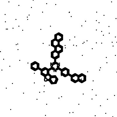 c1ccc(-c2cc(-c3nc(-c4ccc(-c5ccc6ccccc6c5)cc4)nc(-c4ccc5c(ccc6c7ccccc7ccc56)c4)n3)c3c(c2)oc2ccccc23)cc1